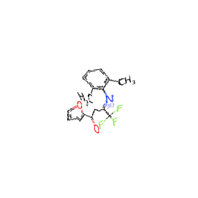 Cc1cccc(C)c1/N=C(\CC(=O)c1ccco1)C(F)(F)F